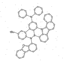 CC(C)(C)c1ccc2c(c1)-c1cc(N(c3ccccc3)c3ccccc3)cc3c1B(c1cccc4c5ccc6ccccc6c5n-3c14)N2c1cccc2c1oc1ccccc12